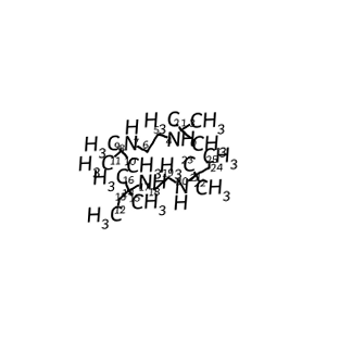 CC(C)(C)NCCNC(C)(C)C.CCC(C)(C)NCCNC(C)(C)CC